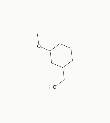 COC1CCCC(CO)C1